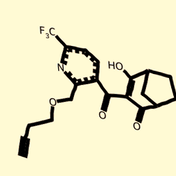 C#CCCOCc1nc(C(F)(F)F)ccc1C(=O)C1=C(O)C2CCC(C2)C1=O